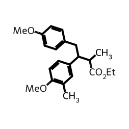 CCOC(=O)C(C)C(Cc1ccc(OC)cc1)c1ccc(OC)c(C)c1